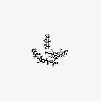 CCn1c(CNC(=O)c2nc3cc[nH]c3nc2N)[n+](CC)c2ccc(C(=O)NCCC(NCCCN(CC(O)C(O)C(O)C(O)CO)CC(O)C(O)C(O)C(O)CO)C(N)=O)cc21.O=C(O)C(F)(F)F.O=C(O)C(F)(F)F.O=C([O-])C(F)(F)F